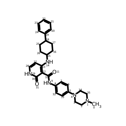 CN1CCN(c2ccc(NC(=O)c3c(NC4CCC(c5ccccc5)CC4)cc[nH]c3=O)cc2)CC1